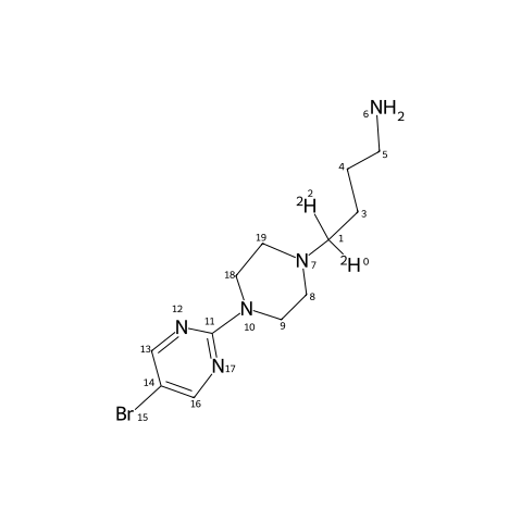 [2H]C([2H])(CCCN)N1CCN(c2ncc(Br)cn2)CC1